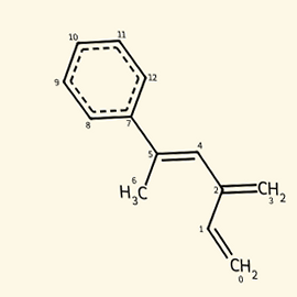 C=CC(=C)C=C(C)c1ccccc1